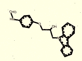 O=CNc1ccc(OCC(O)Cn2c3ccccc3c3ccccc32)cc1